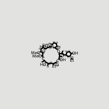 CCOC1CC(C=C(C)C2OC(=O)C3CCCCN3C(=O)C(=O)C3(O)OC(C(OC)CC(C)C(O)/C(C)=C/C(CC)C(=O)CC(O)C2C)C(OC)CC3C)CCC1O